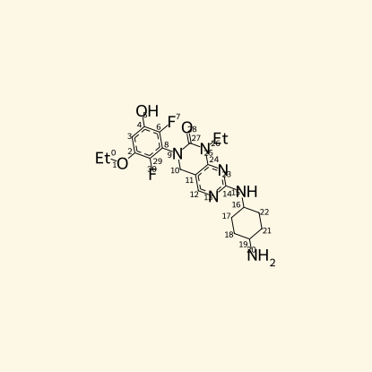 CCOc1cc(O)c(F)c(N2Cc3cnc(NC4CCC(N)CC4)nc3N(CC)C2=O)c1F